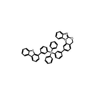 c1ccc([Si](c2ccccc2)(c2cccc(-c3ccc4c(c3)-n3c(nc5ccccc53)OC4)c2)c2cccc(-c3cccc4c3sc3ccccc34)c2)cc1